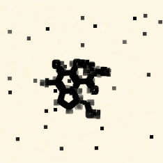 CCNC(=O)c1c(OC)c(=O)c(I)c2n1[C@H](CO)CC2